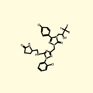 O=C1CCC(CNc2nc(Cn3nc(-c4ccc(Cl)cc4)n(CC(O)C(F)(F)F)c3=O)nn2-c2ccccc2Cl)N1